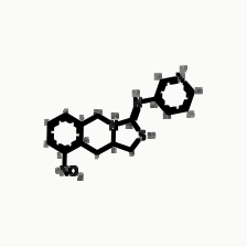 O=[N+]([O-])c1cccc2c1CC1CSC(=Nc3cccnc3)N1C2